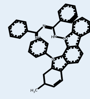 CC1C=Cc2c(n(-c3ccccc3)c3c2ccc2c4ccccc4n(N/C(=N\C(=N)c4ccccc4)c4c#cccc4)c23)C1